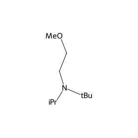 COCCN(C(C)C)C(C)(C)C